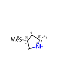 CS[C@H]1CN[C@@H](C)C1